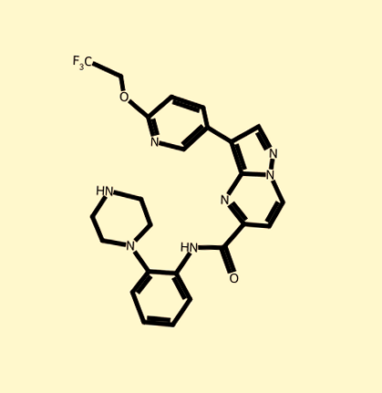 O=C(Nc1ccccc1N1CCNCC1)c1ccn2ncc(-c3ccc(OCC(F)(F)F)nc3)c2n1